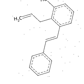 C=CCc1c(O)cccc1C=Cc1ccccc1